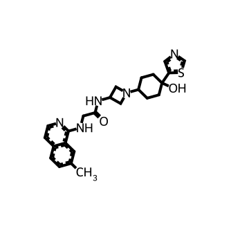 Cc1ccc2ccnc(NCC(=O)NC3CN(C4CCC(O)(c5cncs5)CC4)C3)c2c1